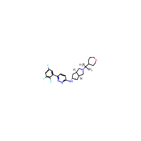 BC(B)(C1CCCOCC1)N1C[C@H]2C[C@H](Nc3ccc(-c4cc(F)cc(F)c4F)nn3)C[C@H]2C1